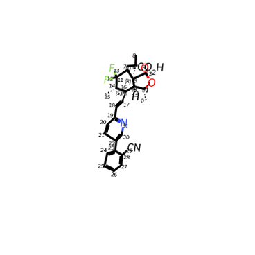 C[C@H]1OC(=O)[C@]2(C(C)(C)C(=O)O)CC(F)(F)[C@@H](C)[C@H](C=Cc3ccc(-c4ccccc4C#N)cn3)[C@H]12